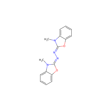 Cn1/c(=N/N=c2/oc3ccccc3n2C)oc2ccccc21